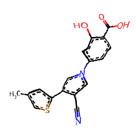 Cc1csc(-c2cn(-c3ccc(C(=O)O)c(O)c3)cc2C#N)c1